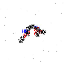 [CH2]C(COc1ccc(C(C)(C)C)cc1)OC(=O)NC1CCC(CC2CCC(NC(=O)OC(COC(=O)C(=C)C)COc3ccccc3)CC2)CC1